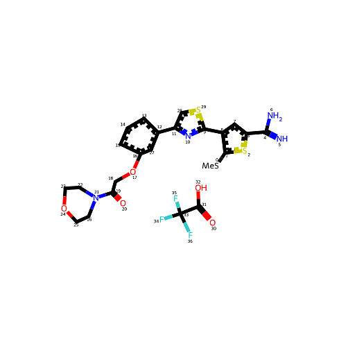 CSc1sc(C(=N)N)cc1-c1nc(-c2cccc(OCC(=O)N3CCOCC3)c2)cs1.O=C(O)C(F)(F)F